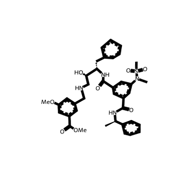 COC(=O)c1cc(CNC[C@@H](O)[C@H](Cc2ccccc2)NC(=O)c2cc(C(=O)N[C@H](C)c3ccccc3)cc(N(C)S(C)(=O)=O)c2)cc(OC)c1